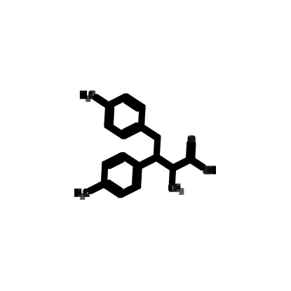 Cc1ccc(CC(c2ccc(C)cc2)C(C)C(=O)O)cc1